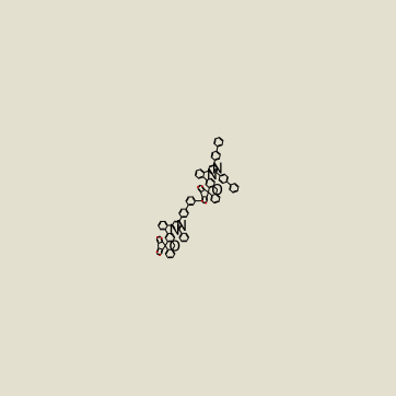 c1ccc(-c2ccc(-c3cc(-c4ccccc4-c4ccc5c(c4)C4(c6ccccc6O5)c5ccccc5-c5c(-c6cccc(-c7ccc(-c8cc(-c9ccccc9-c9ccc%10c(c9)C9(c%11ccccc%11O%10)c%10ccccc%10-c%10ccccc%109)nc(-c9ccccc9)n8)cc7)c6)cccc54)nc(-c4ccc(-c5ccccc5)cc4)n3)cc2)cc1